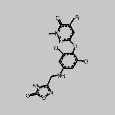 CC(C)c1cc(Oc2c(Cl)cc(NCc3noc(=O)[nH]3)cc2Cl)nn(C)c1=O